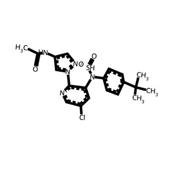 CC(=O)Nc1cnn(-c2ncc(Cl)cc2N(c2ccc(C(C)(C)C)cc2)[SH](=O)=O)c1